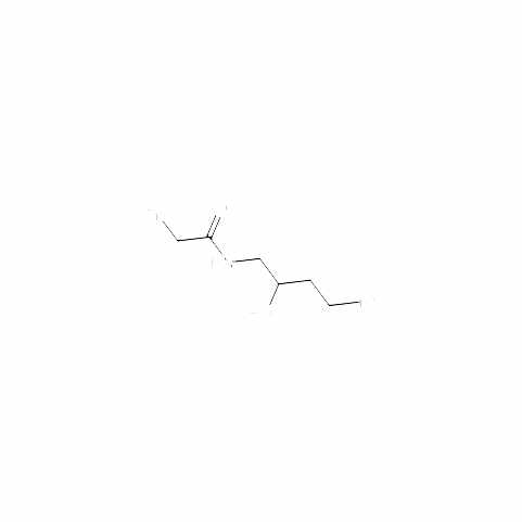 CC(C)CCC(O)CNC(=O)CC(C)C